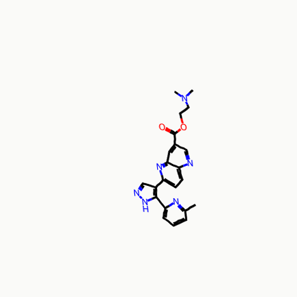 Cc1cccc(-c2[nH]ncc2-c2ccc3ncc(C(=O)OCCN(C)C)cc3n2)n1